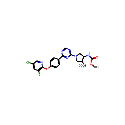 CC(C)(C)OC(=O)NC1CN(c2ncnc(-c3ccc(Oc4ncc(Cl)cc4F)cc3)n2)CC1C(=O)O